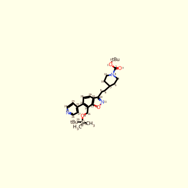 CC(C)(C)OC(=O)N1CCC(CCc2noc3c(CO[Si](C)(C)C(C)(C)C)c(-c4ccncc4)ccc23)CC1